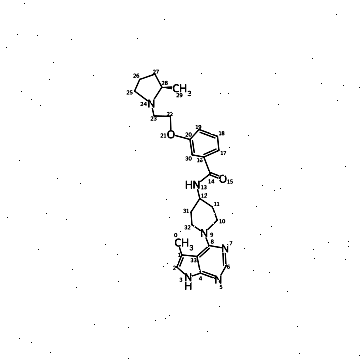 Cc1c[nH]c2ncnc(N3CCC(NC(=O)c4cccc(OCCN5CCC[C@H]5C)c4)CC3)c12